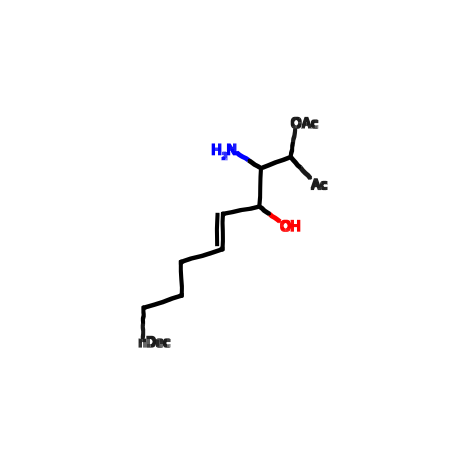 CCCCCCCCCCCCCC=CC(O)C(N)C(OC(C)=O)C(C)=O